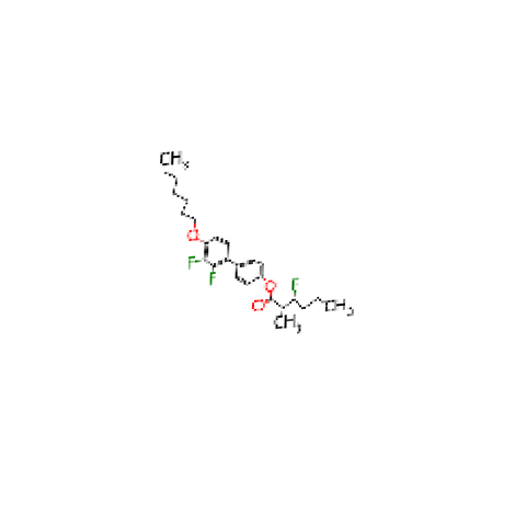 CCCCCCCOc1ccc(-c2ccc(OC(=O)[C@@H](C)[C@@H](F)CCC)cc2)c(F)c1F